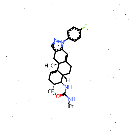 CC(C)NC(=O)N[C@H]1[C@H](C(F)(F)F)CC=C2[C@@H]1CCC1=Cc3c(cnn3-c3ccc(F)cc3)C[C@@]12C